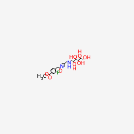 COC(=O)c1ccc(CC(=O)N2CC(CNC[C@H](O)[C@@H](O)[C@H](O)[C@H](O)CO)C2)c(F)c1